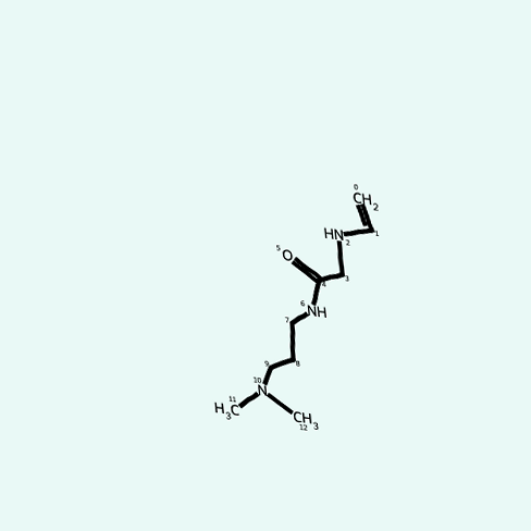 C=CNCC(=O)NCCCN(C)C